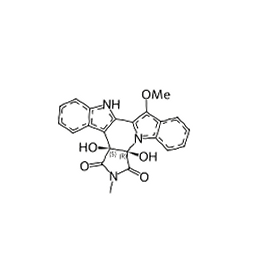 COc1c2n(c3ccccc13)[C@]1(O)C(=O)N(C)C(=O)[C@]1(O)c1c-2[nH]c2ccccc12